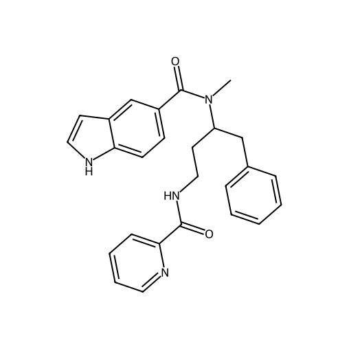 CN(C(=O)c1ccc2[nH]ccc2c1)C(CCNC(=O)c1ccccn1)Cc1ccccc1